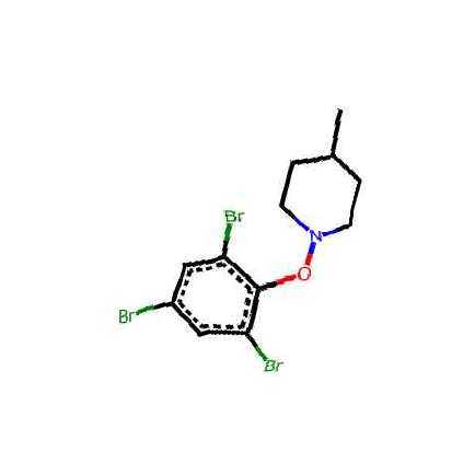 CC1CCN(Oc2c(Br)cc(Br)cc2Br)CC1